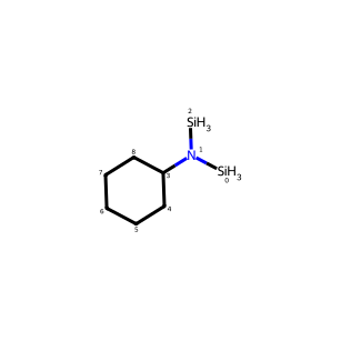 [SiH3]N([SiH3])C1CCCCC1